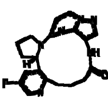 O=C1CCCc2ncc(F)cc2[C@@H]2CCCN2c2ccn3ncc(c3n2)N1